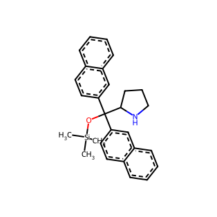 C[Si](C)(C)OC(c1ccc2ccccc2c1)(c1ccc2ccccc2c1)C1CCCN1